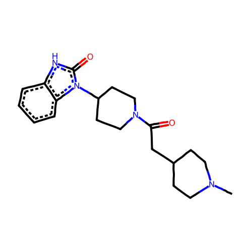 CN1CCC(CC(=O)N2CCC(n3c(=O)[nH]c4ccccc43)CC2)CC1